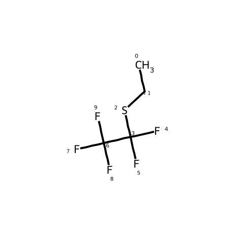 C[CH]SC(F)(F)C(F)(F)F